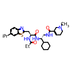 CCC(=O)N[C@@H](Cc1nc2ccc(C(C)C)cc2s1)C(=O)N[C@H](CNC(=O)C1=CCCN(C)C1)C1CCCCC1